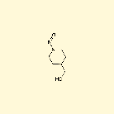 O=NN1CCC(CO)CC1